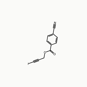 N#Cc1ccc(C(=O)OCC#CI)cc1